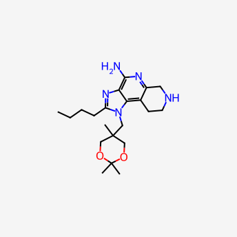 CCCCc1nc2c(N)nc3c(c2n1CC1(C)COC(C)(C)OC1)CCNC3